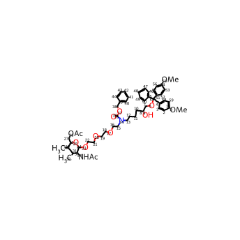 COc1ccc(C(OCC(O)CCCCN(CCOCCOCCOC2OC(COC(C)=O)C(C)C(C)C2NC(C)=O)C(=O)OCc2ccccc2)(c2ccccc2)c2ccc(OC)cc2)cc1